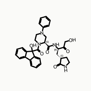 O=C1NCC[C@H]1C[C@@H](NC(=O)[C@@H]1CN(c2ccccc2)CCN1C(=O)C1(O)c2ccccc2-c2ccccc21)C(=O)CO